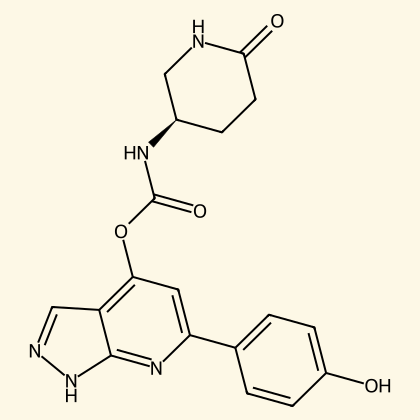 O=C1CC[C@@H](NC(=O)Oc2cc(-c3ccc(O)cc3)nc3[nH]ncc23)CN1